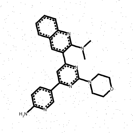 CN(C)c1nc2ccccc2cc1-c1cc(-c2ccc(N)nc2)nc(N2CCOCC2)n1